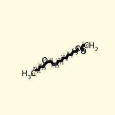 C=CC(=O)OCCCCCCCC/C=C\CC1OC1CCCCC